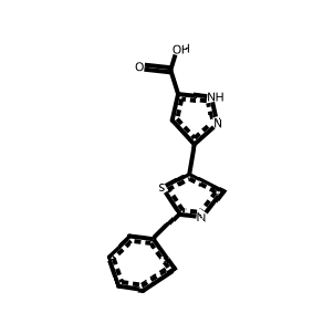 O=C(O)c1cc(-c2cnc(-c3ccccc3)s2)n[nH]1